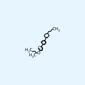 CCCCC1CC=C(c2ccc(-c3ccc(OC(C)CCC)cc3)cc2)CC1